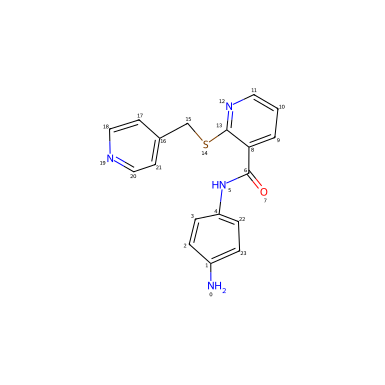 Nc1ccc(NC(=O)c2cccnc2SCc2ccncc2)cc1